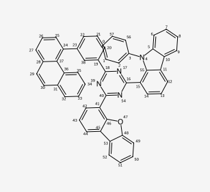 c1ccc(-n2c3ccccc3c3cccc(-c4nc(-c5cccc(-c6cccc7ccc8ccccc8c67)c5)nc(-c5cccc6c5oc5ccccc56)n4)c32)cc1